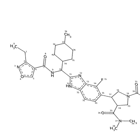 CCc1nocc1C(=O)NC(c1nc2c(F)c(C3CN(C(=O)O)CC3C(=O)N(C)C)ccc2[nH]1)C1CCC(C)CC1